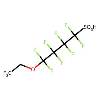 O=S(=O)(O)C(F)(F)C(F)(F)C(F)(F)C(F)(F)OCC(F)(F)F